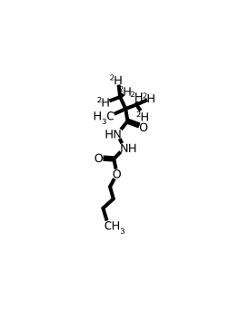 [2H]C([2H])([2H])C(C)(C(=O)NNC(=O)OCCCC)C([2H])([2H])[2H]